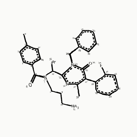 Cc1ccc(C(=O)N(CCCN)C(c2nc(C)c(-c3ccccc3F)c(=O)n2Cc2ccccc2)C(C)C)cc1